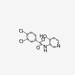 O=S(=O)(Nc1cnccc1O)c1ccc(Cl)c(Cl)c1